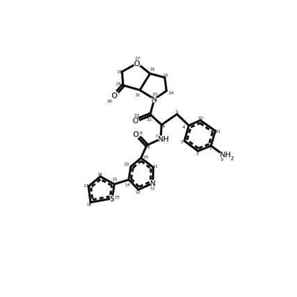 Nc1ccc(CC(NC(=O)c2cncc(-c3cccs3)c2)C(=O)N2CCC3OCC(=O)C32)cc1